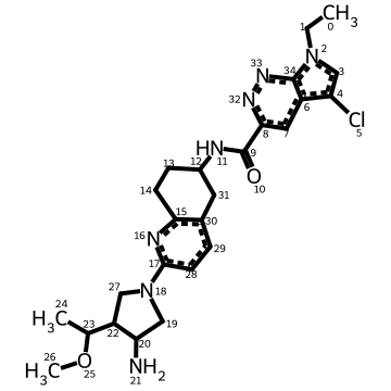 CCn1cc(Cl)c2cc(C(=O)NC3CCc4nc(N5CC(N)C(C(C)OC)C5)ccc4C3)nnc21